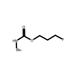 CC(C)(C)NC(=O)OCCCF